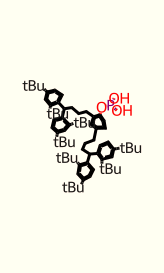 CC(C)(C)c1ccc(C(CCCc2ccc(OP(O)O)c(CCCC(c3ccc(C(C)(C)C)cc3C(C)(C)C)c3ccc(C(C)(C)C)cc3C(C)(C)C)c2)c2ccc(C(C)(C)C)cc2C(C)(C)C)c(C(C)(C)C)c1